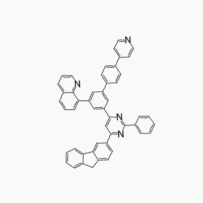 c1ccc(-c2nc(-c3cc(-c4ccc(-c5ccncc5)cc4)cc(-c4cccc5cccnc45)c3)cc(-c3ccc4c(c3)-c3ccccc3C4)n2)cc1